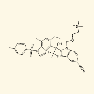 CCc1cc(C)c2c(ccn2S(=O)(=O)c2ccc(C)cc2)c1C(O)(c1nc2cc(C#N)ccc2n1COCC[Si](C)(C)C)C(F)(F)F